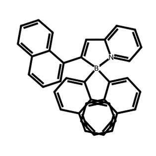 C1=C(c2cccc3ccccc23)[B-](c2cccc3ccccc23)(c2cccc3ccccc23)[n+]2ccccc21